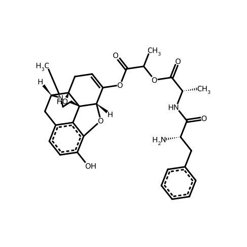 CC(OC(=O)[C@H](C)NC(=O)[C@@H](N)Cc1ccccc1)C(=O)OC1=CC[C@@]2(O)[C@H]3Cc4ccc(O)c5c4[C@@]2(CCN3C)[C@H]1O5